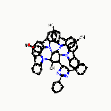 N#Cc1ccc2c(c1)c1ccccc1n2-c1c(C#N)c(-c2cc(-c3ccccc3)nc(-c3ccccc3)n2)c(-n2c3ccccc3c3cc(C#N)ccc32)c(-n2c3ccccc3c3cc(C#N)ccc32)c1-n1c2ccccc2c2cc(C#N)ccc21